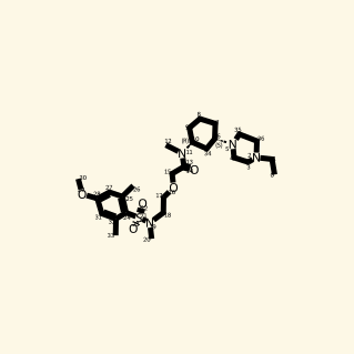 CCN1CCN([C@H]2CCC[C@@H](N(C)C(=O)COCCN(C)S(=O)(=O)c3c(C)cc(OC)cc3C)C2)CC1